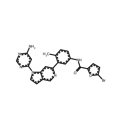 Cc1ccc(NC(=O)c2ccc(Br)o2)cc1-c1cc2c(ccn2-c2cc(N)ncn2)cn1